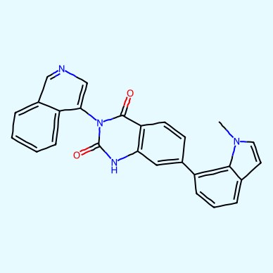 Cn1ccc2cccc(-c3ccc4c(=O)n(-c5cncc6ccccc56)c(=O)[nH]c4c3)c21